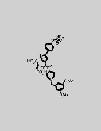 COc1cc(CN2CCC(N(C)C(=O)n3cnc(-c4ccc(OS(N)(=O)=O)cc4)c3)CC2)cc(OC)c1.O=C(O)C=CC(=O)O